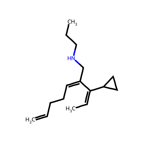 C=CCC/C=C(CNCCC)\C(=C/C)C1CC1